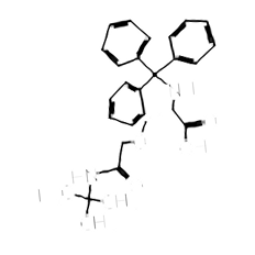 CC(C)(C)NC(=O)COC[C@H](NC(c1ccccc1)(c1ccccc1)c1ccccc1)C(=O)O